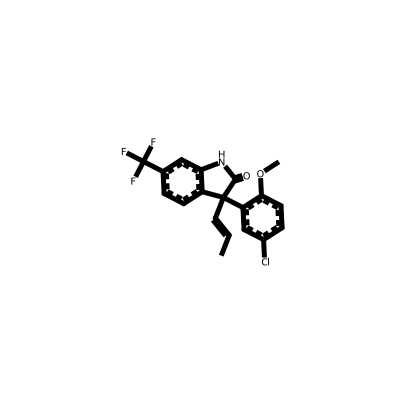 C/C=C/C1(c2cc(Cl)ccc2OC)C(=O)Nc2cc(C(F)(F)F)ccc21